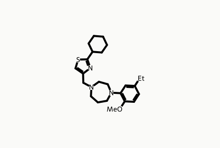 CCc1ccc(OC)c(N2CCCN(Cc3csc(C4CCCCC4)n3)CC2)c1